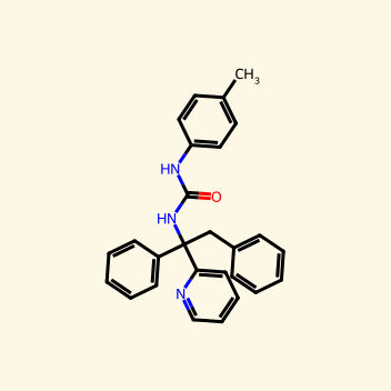 Cc1ccc(NC(=O)NC(Cc2ccccc2)(c2ccccc2)c2ccccn2)cc1